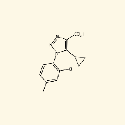 Cc1ccc(-n2nnc(C(=O)O)c2C2CC2)c(Cl)c1